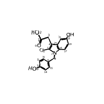 O=C(O)Cc1c(Cl)n(Cc2ccc(O)cc2)c2ccc(O)cc12